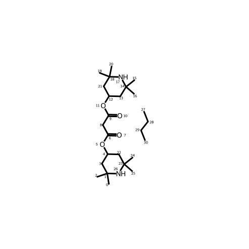 CC1(C)CC(OC(=O)CC(=O)OC2CC(C)(C)NC(C)(C)C2)CC(C)(C)N1.CCCC